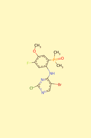 COc1cc(P(C)(C)=O)c(Nc2nc(Cl)ncc2Br)cc1F